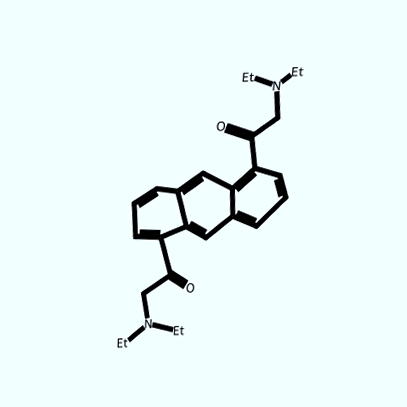 CCN(CC)CC(=O)c1cccc2cc3c(C(=O)CN(CC)CC)cccc3cc12